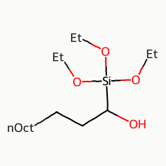 CCCCCCCCCCC(O)[Si](OCC)(OCC)OCC